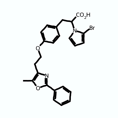 Cc1oc(-c2ccccc2)nc1CCOc1ccc(CC(C(=O)O)n2cccc2Br)cc1